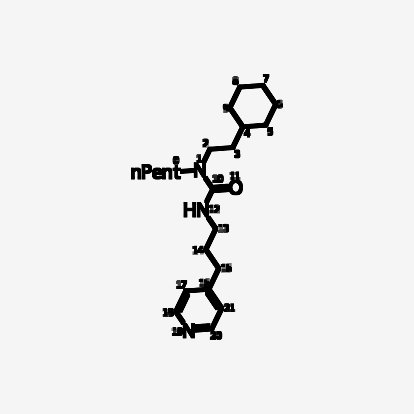 CCCCCN(CCC1CCCCC1)C(=O)NCCCc1ccncc1